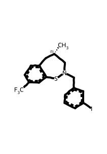 C[C@H]1Cc2ccc(C(F)(F)F)cc2SN(Cc2cccc(I)c2)C1